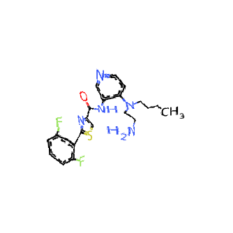 CCCCN(CCN)c1ccncc1NC(=O)c1csc(-c2c(F)cccc2F)n1